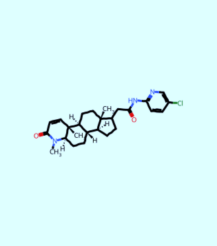 CN1C(=O)C=C[C@]2(C)[C@H]3CC[C@]4(C)C(CC(=O)Nc5ccc(Cl)cn5)CC[C@H]4[C@@H]3CC[C@@H]12